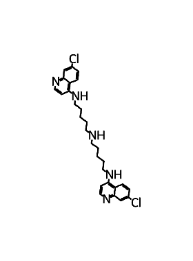 Clc1ccc2c(NCCCCCNCCCCCNc3ccnc4cc(Cl)ccc34)ccnc2c1